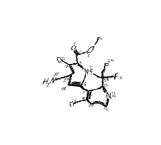 COC(=O)c1nc(-c2c(Cl)ccnc2C(F)(F)F)cc(N)c1Cl